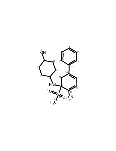 CS(=O)(=O)C1(NC2CCC(O)CC2)CC(c2ccccc2)=CC=C1C#N